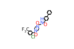 O=C(NCC(=O)N1CCN(C(=O)c2cc(C(F)(F)F)ccc2Cl)CC1)c1ccc(-c2ccccc2)cc1